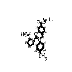 COC(=O)c1ccc(CN(C(=O)N2CCC[C@@H]2CO)c2ccc(C)cc2)cc1